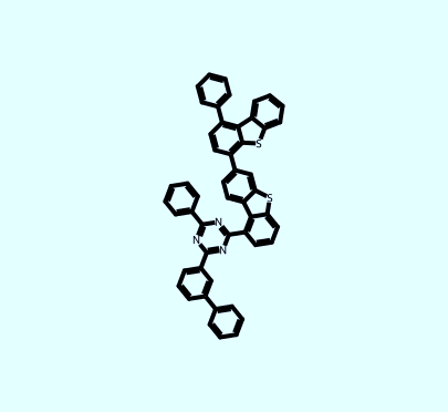 c1ccc(-c2cccc(-c3nc(-c4ccccc4)nc(-c4cccc5sc6cc(-c7ccc(-c8ccccc8)c8c7sc7ccccc78)ccc6c45)n3)c2)cc1